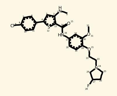 CNc1cc(-c2ccc(Cl)cc2)sc1C(=O)Nc1ccc(OCCN2CCC(F)C2)c(OC)c1